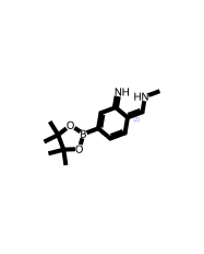 CN/C=C1/C=CC(B2OC(C)(C)C(C)(C)O2)=CC1=N